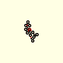 CC1(C)c2ccccc2-c2cc3c4ccccc4n(-c4cccc([Si](c5ccccc5)(c5ccccc5)c5cccc6c5sc5c([Si](c7ccccc7)(c7ccccc7)c7cccc8c7sc7ccccc78)cccc56)c4)c3cc21